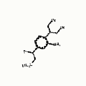 CCOC(=O)CC(c1ccc(N(CC(C)C)CC(C)C)c(N)c1)C(C)C